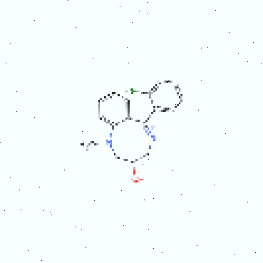 CN1CC(O)C/N=C(/c2ccccc2Cl)c2ccccc21